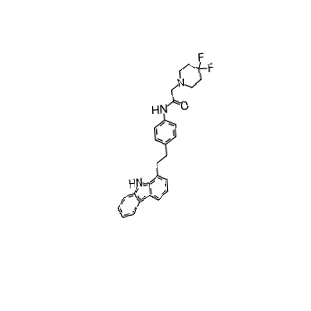 O=C(CN1CCC(F)(F)CC1)Nc1ccc(CCc2cccc3c2[nH]c2ccccc23)cc1